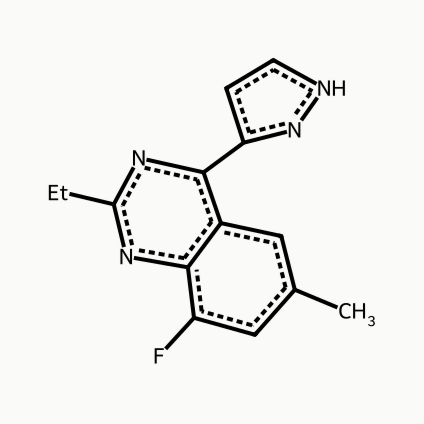 CCc1nc(-c2cc[nH]n2)c2cc(C)cc(F)c2n1